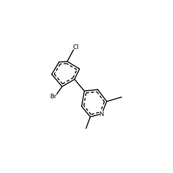 Cc1cc(-c2cc(Cl)ccc2Br)cc(C)n1